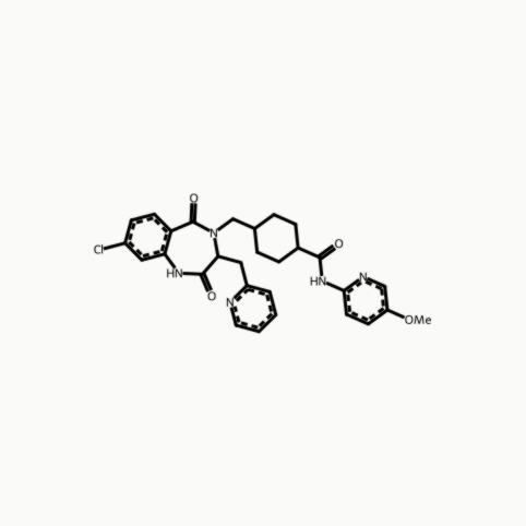 COc1ccc(NC(=O)C2CCC(CN3C(=O)c4ccc(Cl)cc4NC(=O)C3Cc3ccccn3)CC2)nc1